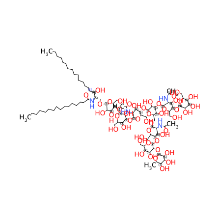 CCCCCCCCCCCCC/C=C/[C@@H](O)[C@H](CO[C@@H]1OC(CO)[C@@H](O[C@@H]2OC(CO)[C@H](O)[C@H](O[C@@H]3OC(CO)[C@@H](O[C@@H]4OC(CO[C@@H]5OC(CO)[C@@H](O[C@@H]6OC(CO)[C@H](O)[C@H](O)C6O[C@H]6OC(C)[C@@H](O)C(O)[C@@H]6O)[C@H](O)C5NC(C)=O)[C@H](O)[C@H](O[C@@H]5OC(CO)[C@@H](O[C@@H]6OC(CO)[C@H](O)[C@H](O)C6O)[C@H](O)C5NC(C)=O)C4O)[C@H](O)C3NC(C)=O)C2O)[C@H](O)C1O)NC(=O)CCCCCCCCCCCCCCC